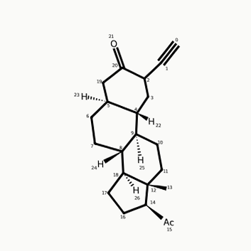 C#CC1C[C@H]2[C@@H](CC[C@@H]3[C@@H]2CC[C@]2(C)[C@@H](C(C)=O)CC[C@@H]32)CC1=O